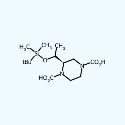 CC(O[Si](C)(C)C(C)(C)C)[C@H]1CN(C(=O)O)CCN1C(=O)O